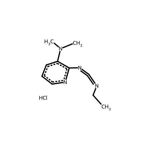 CCN=C=Nc1ncccc1N(C)C.Cl